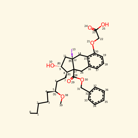 CCCCC[C@@H](CC[C@H]1[C@H](O)C[C@]2(I)Cc3c(cccc3OCC(=O)O)CC12C(=O)OCc1ccccc1)OC